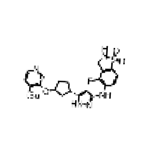 CC(C)(C)c1ccnnc1O[C@H]1CC[C@H](c2cc(Nc3ccc4c(c3F)CNS4(=O)=O)n[nH]2)C1